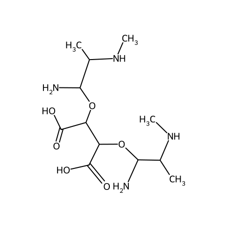 CNC(C)C(N)OC(C(=O)O)C(OC(N)C(C)NC)C(=O)O